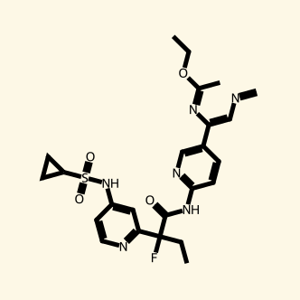 C=N/C=C(\N=C(/C)OCC)c1ccc(NC(=O)C(F)(CC)c2cc(NS(=O)(=O)C3CC3)ccn2)nc1